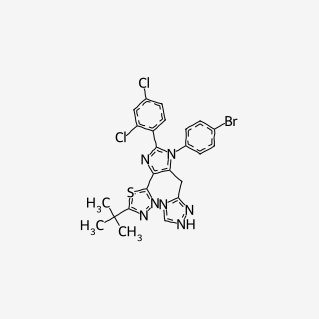 CC(C)(C)c1nnc(-c2nc(-c3ccc(Cl)cc3Cl)n(-c3ccc(Br)cc3)c2Cc2nc[nH]n2)s1